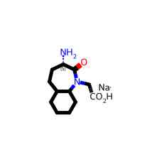 N[C@H]1CCC2CCCCC2N(CC(=O)O)C1=O.[Na]